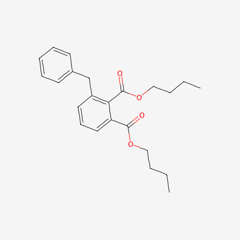 CCCCOC(=O)c1cccc(Cc2ccccc2)c1C(=O)OCCCC